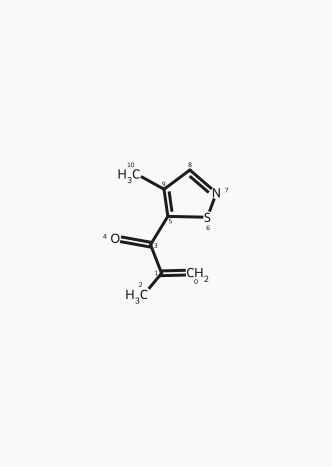 C=C(C)C(=O)c1sncc1C